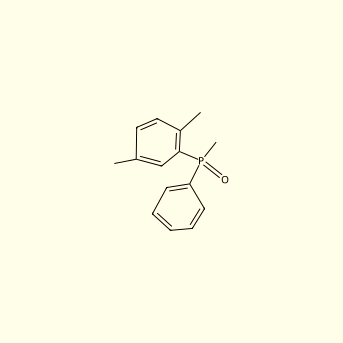 Cc1ccc(C)c(P(C)(=O)c2ccccc2)c1